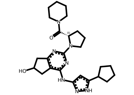 O=C([C@@H]1CCCN1c1nc2c(c(Nc3cc(C4CCCC4)[nH]n3)n1)CC(O)C2)N1CCCCC1